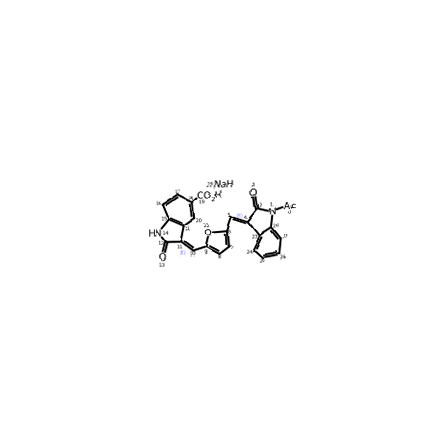 CC(=O)N1C(=O)/C(=C/c2ccc(/C=C3/C(=O)Nc4ccc(C(=O)O)cc43)o2)c2ccccc21.[NaH]